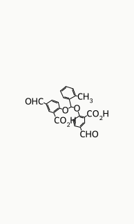 Cc1ccccc1C(Oc1ccc(C=O)cc1C(=O)O)Oc1ccc(C=O)cc1C(=O)O